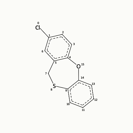 Clc1ccc2c(c1)CSc1ccccc1O2